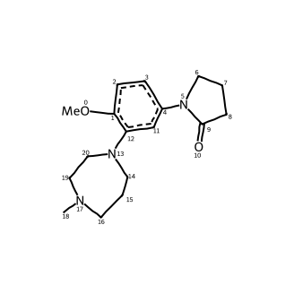 COc1ccc(N2CCCC2=O)cc1N1CCCN(C)CC1